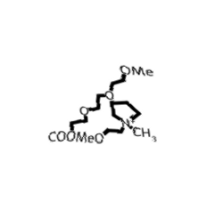 COCCOCCOCCC(=O)[O-].COCC[N+]1(C)CCCC1